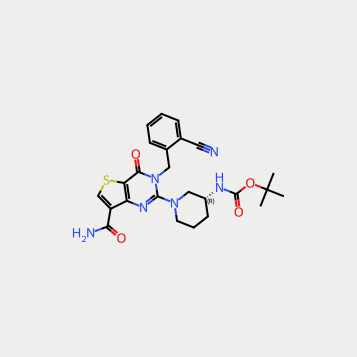 CC(C)(C)OC(=O)N[C@@H]1CCCN(c2nc3c(C(N)=O)csc3c(=O)n2Cc2ccccc2C#N)C1